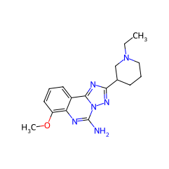 CCN1CCCC(c2nc3c4cccc(OC)c4nc(N)n3n2)C1